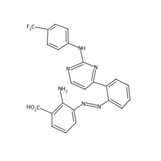 Nc1c(N=Nc2ccccc2-c2ccnc(Nc3ccc(C(F)(F)F)cc3)n2)cccc1C(=O)O